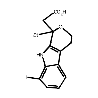 CCC1(CC(=O)O)OCCc2c1[nH]c1c(I)cccc21